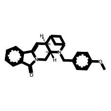 COc1ccc(CN2C3CC(C3)[C@@H]3C=C4c5ccccc5C(=O)N4C[C@H]32)cc1